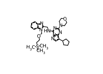 CS(C)(C)CCOCn1c(CNc2nc(N3CCOCC3)nc3c(C4CCCC4)cnn23)nc2ccccc21